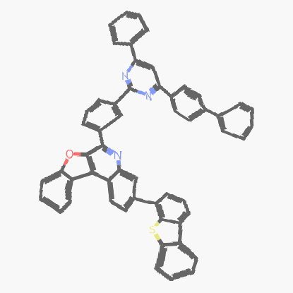 c1ccc(-c2ccc(-c3cc(-c4ccccc4)nc(-c4cccc(-c5nc6cc(-c7cccc8c7sc7ccccc78)ccc6c6c5oc5ccccc56)c4)n3)cc2)cc1